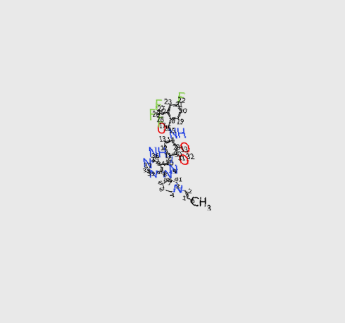 CC=CN1CCC[C@@H](n2nc(-c3ccc(NC(=O)c4ccc(F)cc4C(F)(F)F)c4c3OCO4)c3c(N)ncnc32)C1